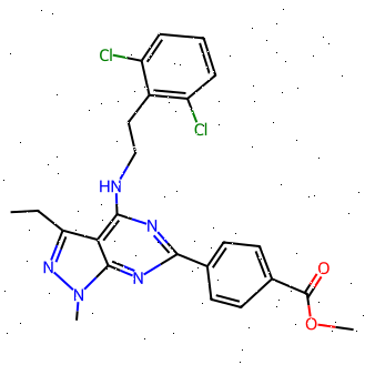 CCc1nn(C)c2nc(-c3ccc(C(=O)OC)cc3)nc(NCCc3c(Cl)cccc3Cl)c12